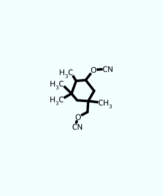 CC1C(OC#N)CC(C)(COC#N)CC1(C)C